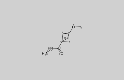 COC12CC(C(=O)NN)(C1)C2